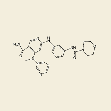 CN(c1cccnc1)c1cc(Nc2cccc(NC(=O)N3CCOCC3)c2)ncc1C(N)=O